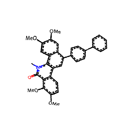 COc1cc2c(-c3ccc(-c4ccccc4)cc3)cc3c4ccc(OC)c(OC)c4c(=O)n(C)c3c2cc1OC